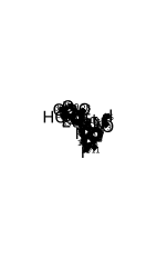 CCN(C(=O)CI)[C@H]1CCc2c(C)c(F)cc3nc4c(c1c23)Cn1c-4cc2c(c1=O)COC(=O)[C@]2(O)CC